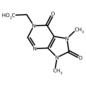 Cn1c(=O)n(C)c2c(=O)n(CC(=O)O)cnc21